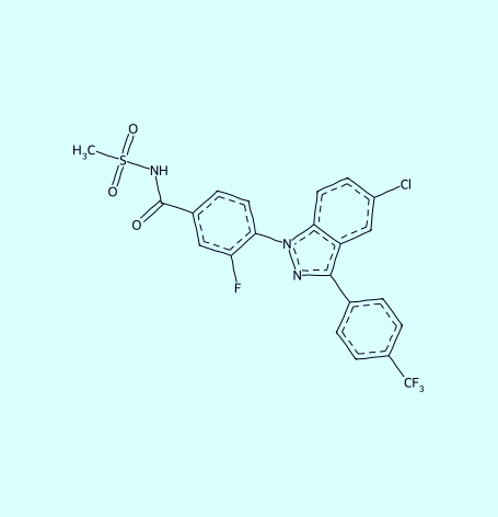 CS(=O)(=O)NC(=O)c1ccc(-n2nc(-c3ccc(C(F)(F)F)cc3)c3cc(Cl)ccc32)c(F)c1